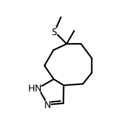 CSC1(C)CCCCC2C=NNC2CC1